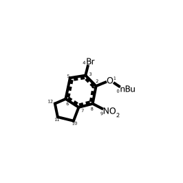 CCCCOc1c(Br)cc2c(c1[N+](=O)[O-])CCC2